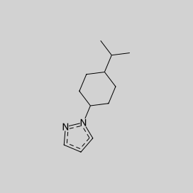 CC(C)C1CCC(n2cccn2)CC1